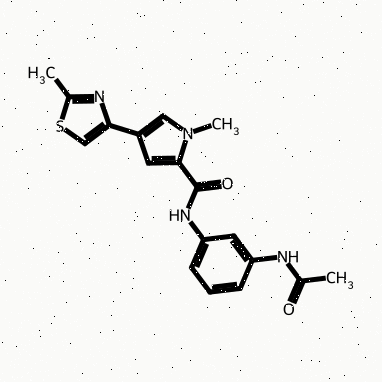 CC(=O)Nc1cccc(NC(=O)c2cc(-c3csc(C)n3)cn2C)c1